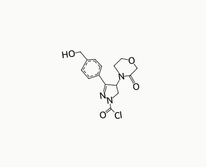 O=C(Cl)N1CC(N2CCOCC2=O)C(c2ccc(CO)cc2)=N1